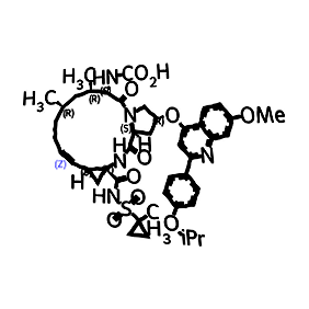 COc1ccc2c(O[C@@H]3C[C@H]4C(=O)N[C@]5(C(=O)NS(=O)(=O)C6(C)CC6)C[C@H]5/C=C\CC[C@@H](C)C[C@@H](C)[C@H](NC(=O)O)C(=O)N4C3)cc(-c3ccc(OC(C)C)cc3)nc2c1